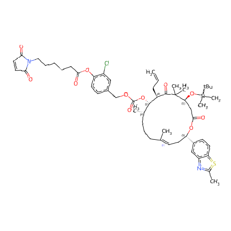 C=CC[C@H]1C(=O)C(C)(C)[C@@H](O[Si](C)(C)C(C)(C)C)CC(=O)O[C@H](c2ccc3sc(C)nc3c2)C/C=C(\C)CCC[C@H](C)[C@@H]1OC(=O)OCc1ccc(OC(=O)CCCCCN2C(=O)C=CC2=O)c(Cl)c1